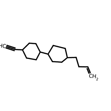 C#CC1CCC(C2CCC(CCC=C)CC2)CC1